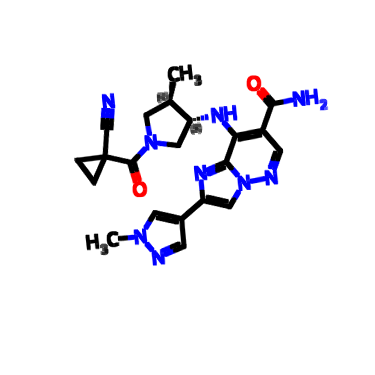 C[C@@H]1CN(C(=O)C2(C#N)CC2)C[C@H]1Nc1c(C(N)=O)cnn2cc(-c3cnn(C)c3)nc12